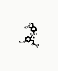 CCNC(=O)Cc1cc(OC)ccc1S(=O)(=O)Nc1ccc2c(c1)B(O)OC2